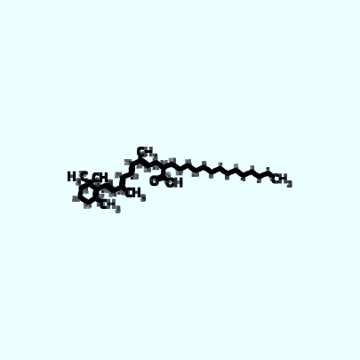 CCCCCCCCCCCCCCC(CC=C(C)C=CC=C(C)C=CC1=C(C)CCCC1(C)C)C(=O)O